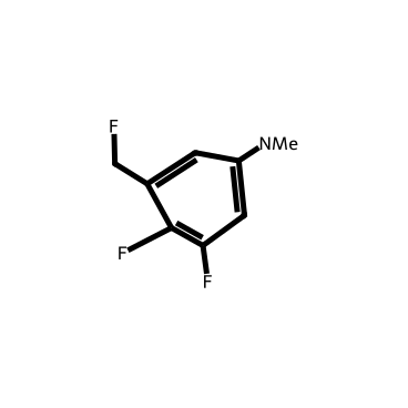 CNc1cc(F)c(F)c(CF)c1